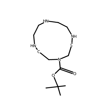 CC(C)(C)OC(=O)N1CCNCCNCCNCC1